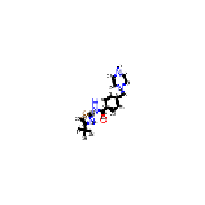 CN1CCN(Cc2ccc(C(=O)Nc3nc(C(C)(C)C)cs3)cc2)CC1